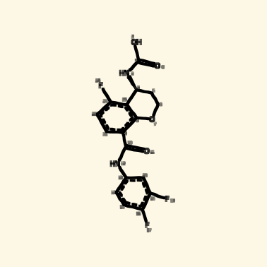 O=C(O)N[C@H]1CCOc2c(C(=O)Nc3ccc(F)c(F)c3)ccc(F)c21